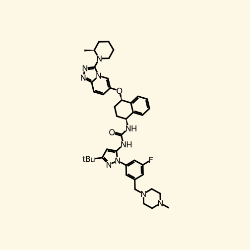 C[C@H]1CCCCN1c1nnc2ccc(O[C@@H]3CC[C@H](NC(=O)Nc4cc(C(C)(C)C)nn4-c4cc(F)cc(CN5CCN(C)CC5)c4)c4ccccc43)cn12